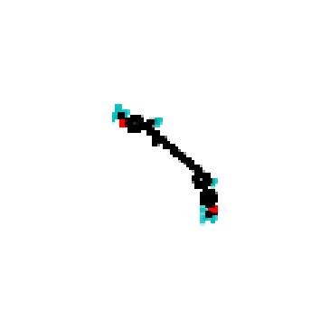 C/C(=C\C=C(/CF)c1ccc(OC(F)(F)F)cc1)CCCCCCCCCc1ccc(-c2ccc(OC(F)(F)F)cc2)c(F)c1